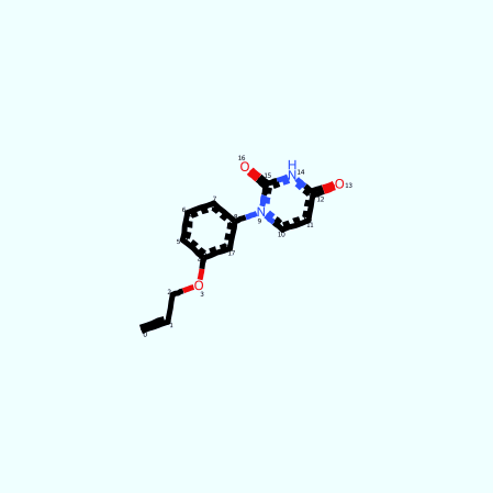 C=CCOc1cccc(-n2ccc(=O)[nH]c2=O)c1